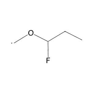 [CH2]OC(F)CC